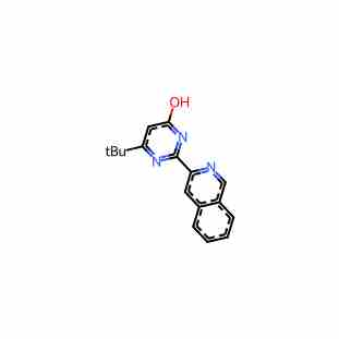 CC(C)(C)c1cc(O)nc(-c2cc3ccccc3cn2)n1